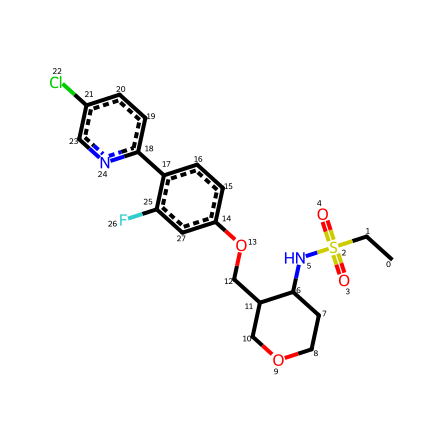 CCS(=O)(=O)NC1CCOCC1COc1ccc(-c2ccc(Cl)cn2)c(F)c1